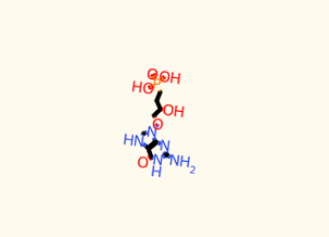 Nc1nc2c(c(=O)[nH]1)NCN2OCC(O)CCP(=O)(O)O